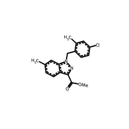 COC(=O)c1nn(Cc2ccc(Cl)cc2C)c2cc(C)ccc12